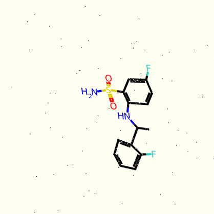 CC(Nc1ccc(F)cc1S(N)(=O)=O)c1ccccc1F